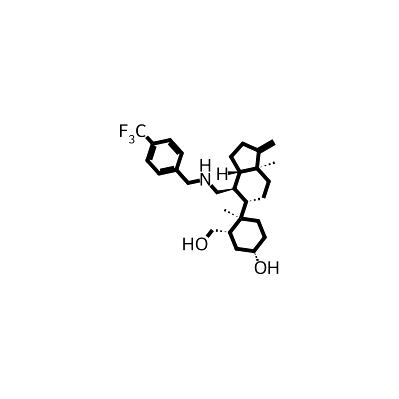 C=C1CC[C@H]2[C@H](CNCc3ccc(C(F)(F)F)cc3)[C@@H]([C@@]3(C)CC[C@H](O)C[C@@H]3CO)CC[C@]12C